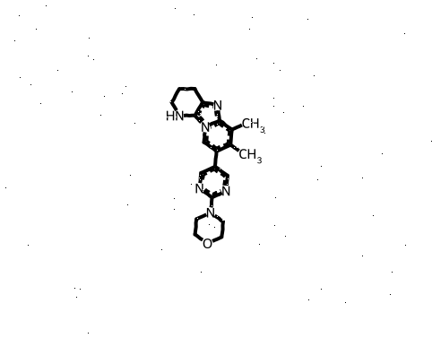 Cc1c(-c2cnc(N3CCOCC3)nc2)cn2c3c(nc2c1C)CCCN3